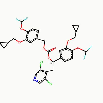 O=C(OCc1ccc(OC(F)F)c(OCC2CC2)c1)O[C@@H](Cc1c(Cl)cncc1Cl)c1ccc(OC(F)F)c(OCC2CC2)c1